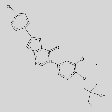 CCC(C)(O)COc1ccc(-n2cnn3cc(-c4ccc(Cl)cc4)cc3c2=O)cc1OC